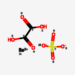 O=C(O)C(=O)O.O=S(=O)([O-])[O-].[Ba+2]